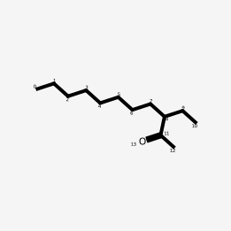 CCCCCCCCC(CC)C(C)=O